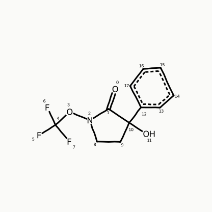 O=C1N(OC(F)(F)F)CCC1(O)c1ccccc1